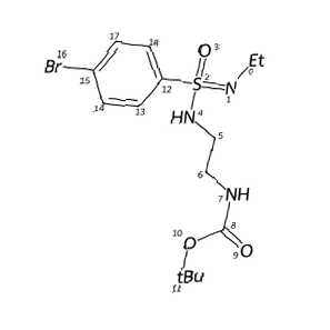 CCN=S(=O)(NCCNC(=O)OC(C)(C)C)c1ccc(Br)cc1